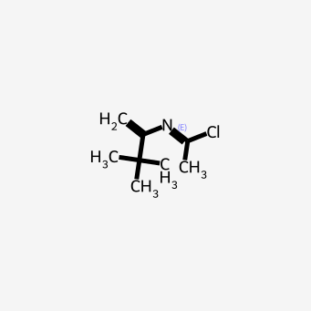 C=C(/N=C(\C)Cl)C(C)(C)C